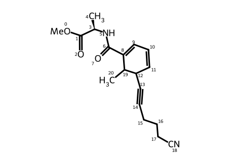 COC(=O)[C@@H](C)NC(=O)C1=CC=CC(C#CCCCC#N)C1C